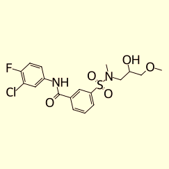 COCC(O)CN(C)S(=O)(=O)c1cccc(C(=O)Nc2ccc(F)c(Cl)c2)c1